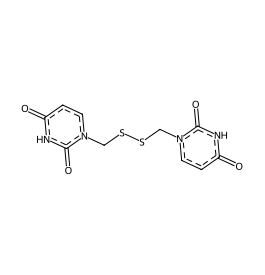 O=c1ccn(CSSCn2ccc(=O)[nH]c2=O)c(=O)[nH]1